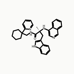 C[C@@](Cc1c[nH]c2ccccc12)(Nc1cncc2ccccc12)C(=O)NCC1(c2ccccn2)CCCCC1